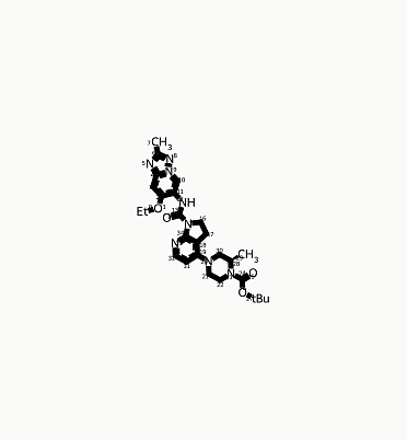 CCOc1cc2nc(C)nn2cc1NC(=O)N1CCc2c(N3CCN(C(=O)OC(C)(C)C)[C@H](C)C3)ccnc21